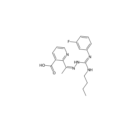 CCCCNC(=Nc1cccc(F)c1)NN=C(C)c1ncccc1C(=O)O